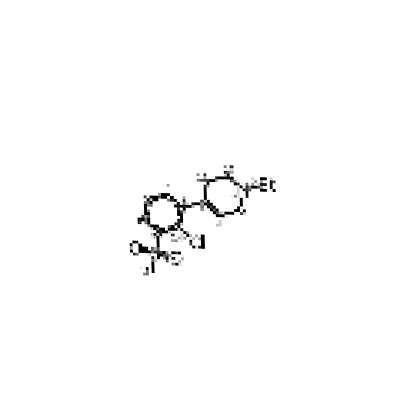 CCN1CC=C(c2cccc(S(C)(=O)=O)c2Cl)CC1